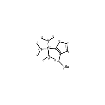 C[N](C)[Zr]([C]1=C(CC(C)(C)C)C=CC1)([N](C)C)[N](C)C